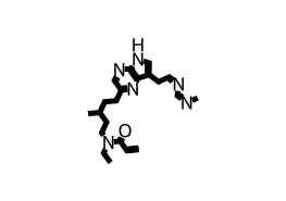 C=CC(=O)N(CC)CCC(C)CCc1cnc2[nH]cc(C/C=N\C=N/C)c2n1